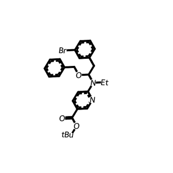 CCN(c1ccc(C(=O)OC(C)(C)C)cn1)C(Cc1cccc(Br)c1)OCc1ccccc1